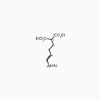 CCOC(=O)C(CCC=CNC(C)=O)C(=O)OCC